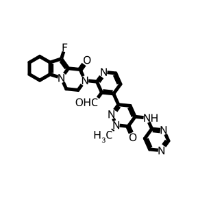 Cn1nc(-c2ccnc(N3CCn4c5c(c(F)c4C3=O)CCCC5)c2C=O)cc(Nc2ccncn2)c1=O